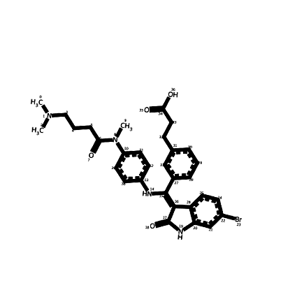 CN(C)CCCC(=O)N(C)c1ccc(N/C(=C2\C(=O)Nc3cc(Br)ccc32)c2cccc(CCC(=O)O)c2)cc1